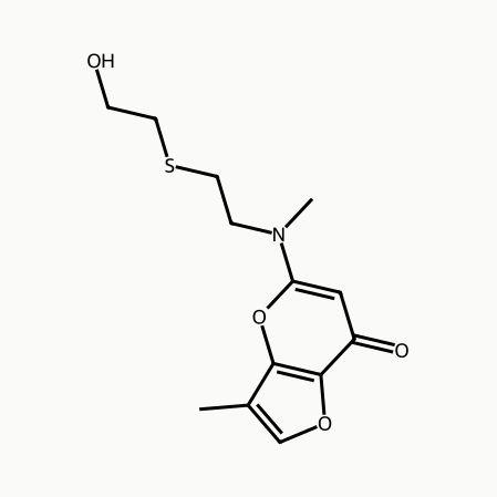 Cc1coc2c(=O)cc(N(C)CCSCCO)oc12